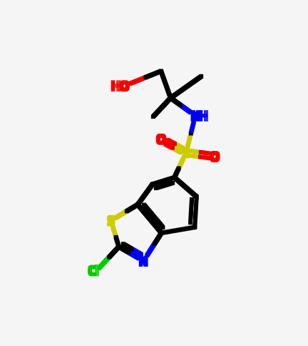 CC(C)(CO)NS(=O)(=O)c1ccc2nc(Cl)sc2c1